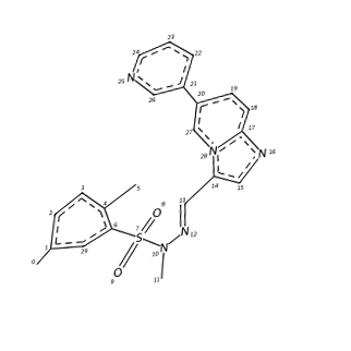 Cc1ccc(C)c(S(=O)(=O)N(C)N=Cc2cnc3ccc(-c4cccnc4)cn23)c1